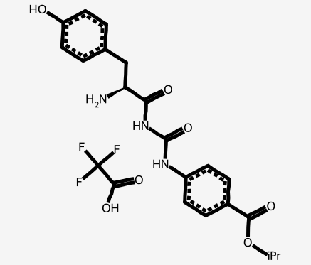 CC(C)OC(=O)c1ccc(NC(=O)NC(=O)[C@@H](N)Cc2ccc(O)cc2)cc1.O=C(O)C(F)(F)F